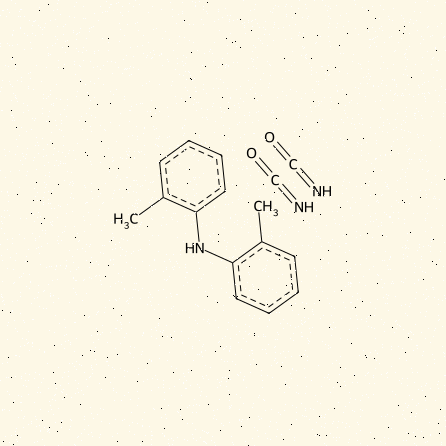 Cc1ccccc1Nc1ccccc1C.N=C=O.N=C=O